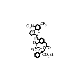 CCOC(=O)C(COC(=O)Cc1ccc(NC(=O)C2CCCN2c2ccc(C(F)(F)F)cc2[N+](=O)[O-])c(C(=O)N(C)C)c1)(C(=O)OCC)c1ccccc1